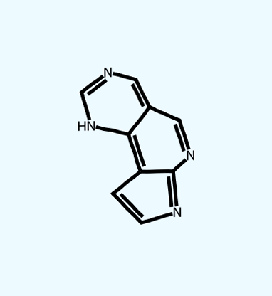 c1cc2c(n1)ncc1cnc[nH]c12